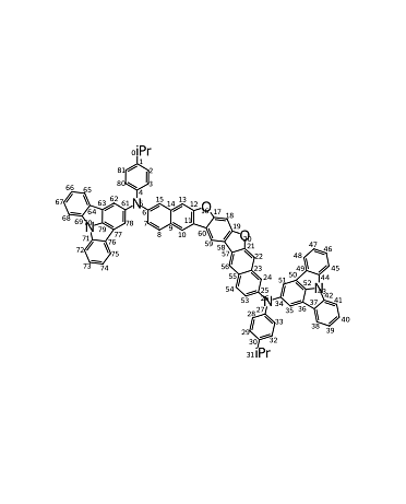 CC(C)c1ccc(N(c2ccc3cc4c(cc3c2)oc2cc3oc5cc6cc(N(c7ccc(C(C)C)cc7)c7cc8c9ccccc9n9c%10ccccc%10c(c7)c89)ccc6cc5c3cc24)c2cc3c4ccccc4n4c5ccccc5c(c2)c34)cc1